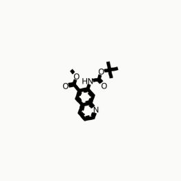 COC(=O)c1cc2cccnc2cc1NC(=O)OC(C)(C)C